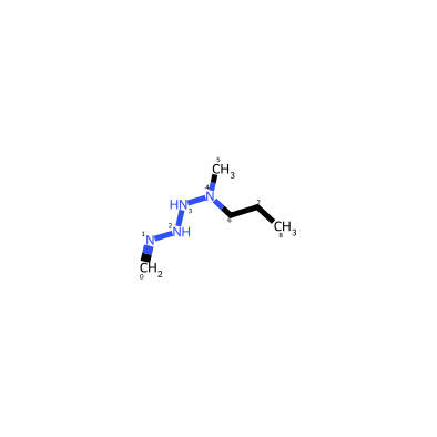 C=NNNN(C)CCC